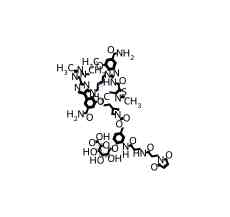 CCc1nc(C)sc1C(=O)Nc1nc2cc(C(N)=O)cc(OC)c2n1C/C=C/Cn1c2nc(-c3nc(C)nn3CC)ncc2c2cc(C(N)=O)cc(OCCC3CN(C(=O)OCc4ccc(O[C@@H]5O[C@H](C(=O)O)[C@@H](O)[C@H](O)[C@H]5O)c(NC(=O)CCNC(=O)CCN5C(=O)C=CC5=O)c4)C3)c21